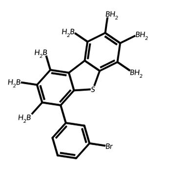 Bc1c(B)c(B)c2c(sc3c(-c4cccc(Br)c4)c(B)c(B)c(B)c32)c1B